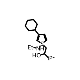 CCNS1(CC(O)C(C)C)C=CC(C2CCCCC2)=C1